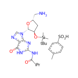 CC(C)C(=O)Nc1nc2c(ncn2[C@@H]2O[C@H](CN)C[C@H]2O[Si](C)(C)C(C)(C)C)c(=O)[nH]1.Cc1ccc(S(=O)(=O)O)cc1